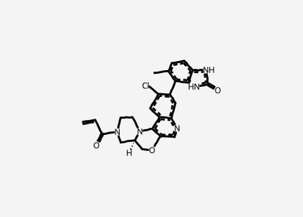 C=CC(=O)N1CCN2c3c(cnc4cc(-c5c(C)ccc6[nH]c(=O)[nH]c56)c(Cl)cc34)OC[C@H]2C1